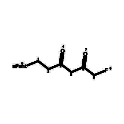 CCCCCCCC(=O)CC(=O)CF